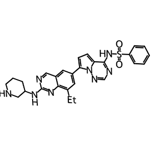 CCc1cc(-c2ccc3c(NS(=O)(=O)c4ccccc4)ncnn23)cc2cnc(NC3CCCNC3)nc12